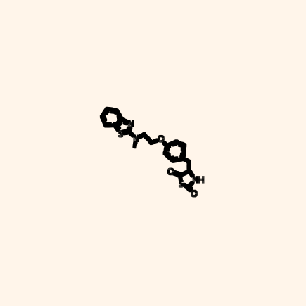 CN(CCOc1ccc(CC2NC(=O)SC2=O)cc1)c1nc2ccccc2s1